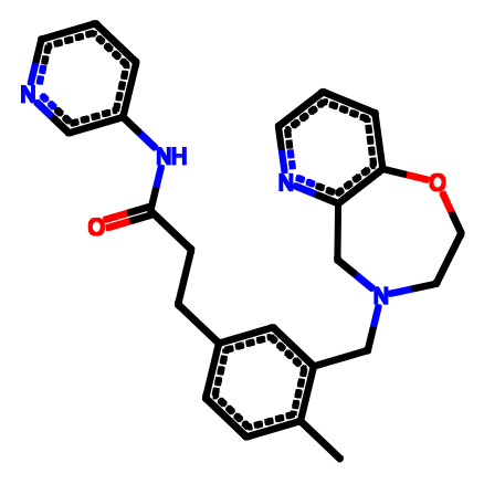 Cc1ccc(CCC(=O)Nc2cccnc2)cc1CN1CCOc2cccnc2C1